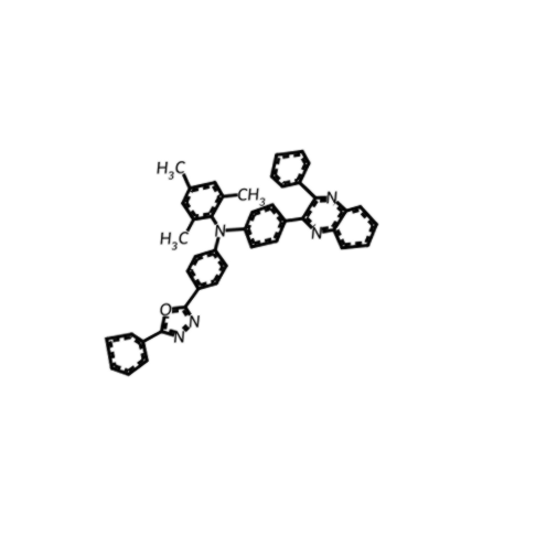 Cc1cc(C)c(N(c2ccc(-c3nnc(-c4ccccc4)o3)cc2)c2ccc(-c3nc4ccccc4nc3-c3ccccc3)cc2)c(C)c1